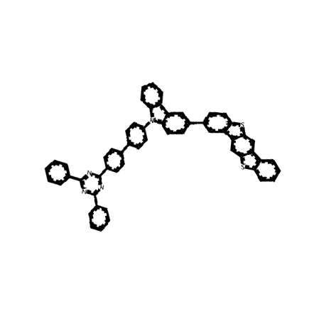 c1ccc(-c2nc(-c3ccccc3)nc(-c3ccc(-c4ccc(-n5c6ccccc6c6cc(-c7ccc8sc9cc%10c(cc9c8c7)sc7ccccc7%10)ccc65)cc4)cc3)n2)cc1